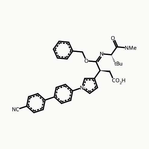 CNC(=O)[C@@H](N=C(OCc1ccccc1)[C@@H](CC(=O)O)c1ccn(-c2ccc(-c3ccc(C#N)cc3)cc2)c1)C(C)(C)C